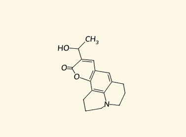 CC(O)c1cc2cc3c4c(c2oc1=O)CCCN4CCC3